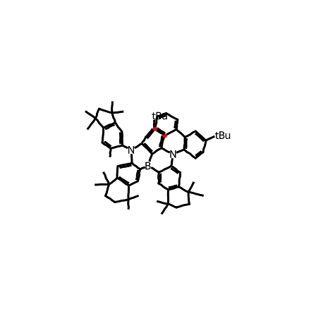 Cc1cc2c(cc1N1c3cc4c(cc3B3c5cc6c(cc5N(c5ccc(C(C)(C)C)cc5-c5ccccc5)c5cc(C(C)(C)C)cc1c53)C(C)(C)CCC6(C)C)C(C)(C)CCC4(C)C)C(C)(C)CC2(C)C